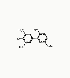 CCCc1cnc(SC)nc1-c1cc(C)c(=O)n(C)c1